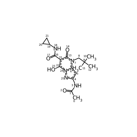 CC(=O)Nc1cc2n(CC(C)(C)C)c(=O)c(C(=O)NC3CC3)c(O)n2n1